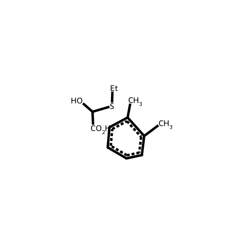 CCSC(O)C(=O)O.Cc1ccccc1C